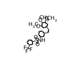 COc1cc(/C=C\c2cccc(NS(=O)(=O)c3cccc(C(F)(F)F)c3)c2)cc(OC)c1OC